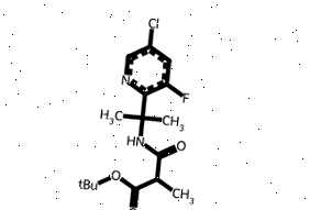 CC(C(=O)NC(C)(C)c1ncc(Cl)cc1F)C(=O)OC(C)(C)C